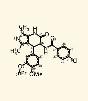 CCCOc1cc(C2c3c(C)nn(C)c3NC(=O)C2NC(=O)c2ccc(Cl)cc2)ccc1OC